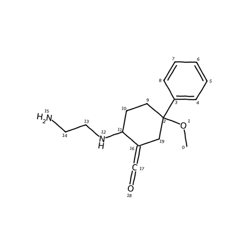 COC1(c2ccccc2)CCC(NCCN)C(=C=O)C1